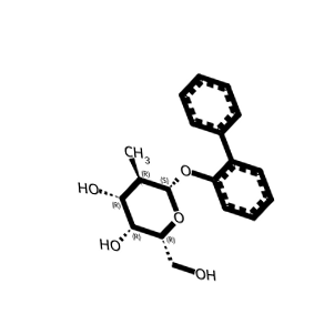 C[C@H]1[C@H](Oc2ccccc2-c2ccccc2)O[C@H](CO)[C@H](O)[C@@H]1O